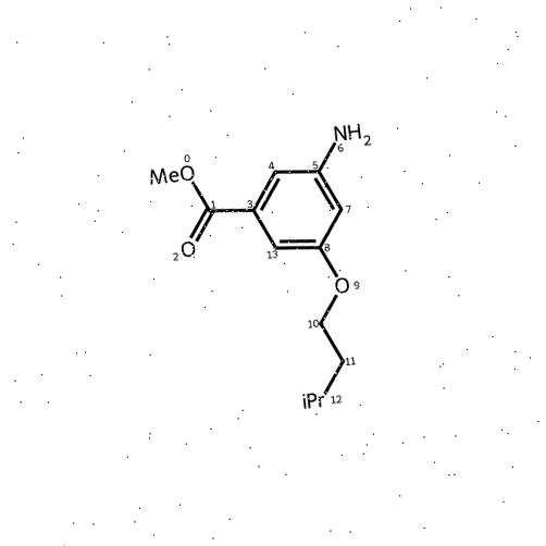 COC(=O)c1cc(N)cc(OCCC(C)C)c1